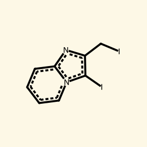 ICc1nc2ccccn2c1I